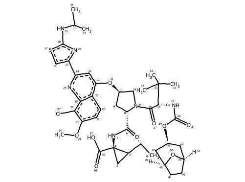 CCC1C[C@]1(NC(=O)[C@@H]1C[C@@H](Oc2cc(-c3csc(NC(C)C)n3)nc3c(Cl)c(OC)ccc23)CN1C(=O)[C@@H](NC(=O)O[C@H]1C[C@H]2CC[C@@H](C1)O2)C(C)(C)C)C(=O)O